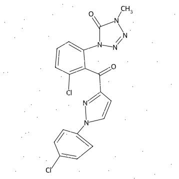 Cn1nnn(-c2cccc(Cl)c2C(=O)c2ccn(-c3ccc(Cl)cc3)n2)c1=O